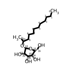 CCCCCCCCCCC(C)O[C@@H]1O[C@H](CO)[C@@H](O)[C@H](O)[C@H]1O